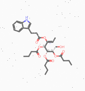 C/C=C(\OC(=O)CCc1c[nH]c2ccccc12)[C@H](OC(=O)CCC)[C@@H](OC(=O)CCC)[C@H](CO)OC(=O)CCC